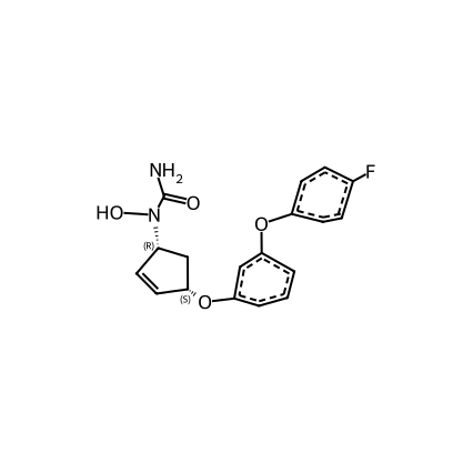 NC(=O)N(O)[C@H]1C=C[C@@H](Oc2cccc(Oc3ccc(F)cc3)c2)C1